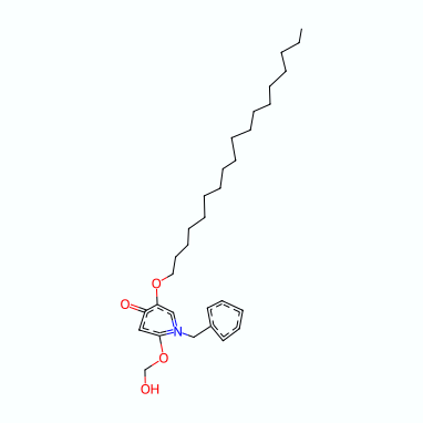 CCCCCCCCCCCCCCCCCCOc1cn(Cc2ccccc2)c(OCO)cc1=O